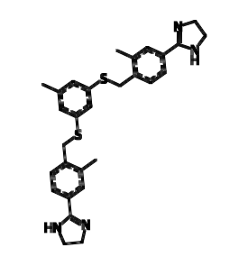 Cc1cc(SCc2ccc(C3=NCCN3)cc2C)cc(SCc2ccc(C3=NCCN3)cc2C)c1